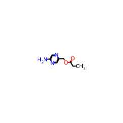 CCC(=O)OCc1cnc(N)cn1